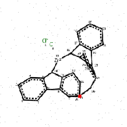 [Cl-].[Cl-].c1ccc2c(c1)-c1c3cccc1[CH]2[Zr+2][CH]1c2ccccc2-c2c(cccc21)CC3